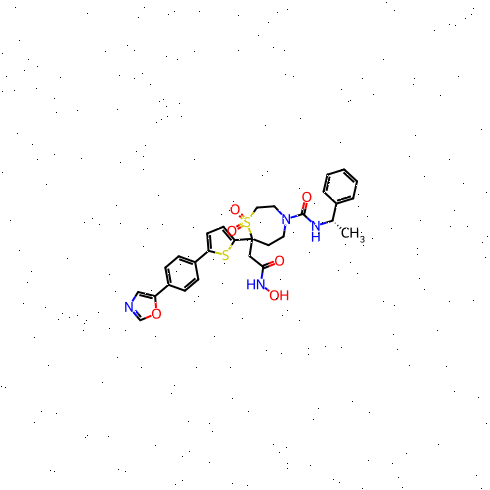 C[C@H](NC(=O)N1CCC(CC(=O)NO)(c2ccc(-c3ccc(-c4cnco4)cc3)s2)S(=O)(=O)CC1)c1ccccc1